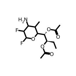 CC[C@@H](OC(C)=O)[C@@H](OC(C)=O)C1OC(F)C(F)C(N)C1C